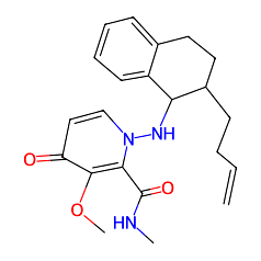 C=CCCC1CCc2ccccc2C1Nn1ccc(=O)c(OC)c1C(=O)NC